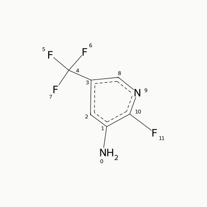 Nc1cc(C(F)(F)F)cnc1F